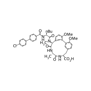 CCCC[C@H](NC(=O)c1ccc(-c2ccc(Cl)cc2)cc1)C(=O)N(C)[C@@H]1C(=O)N[C@@H](C)C(=O)N[C@H](C(=O)O)Cc2ccc(OC)c(c2)-c2cc1ccc2OC